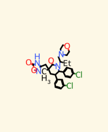 CCC(CN1CCOCC1)N1C(=O)C(C)(Cc2noc(=O)[nH]2)CC(c2cccc(Cl)c2)C1c1ccc(Cl)cc1